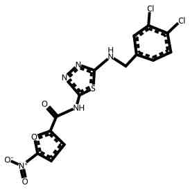 O=C(Nc1nnc(NCc2ccc(Cl)c(Cl)c2)s1)c1ccc([N+](=O)[O-])o1